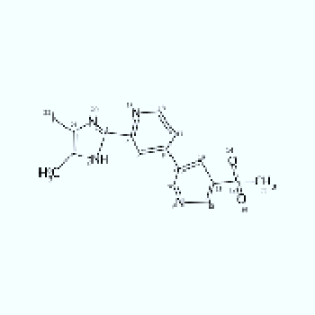 Cc1[nH]c(-c2cc(-c3cncc(S(C)(=O)=O)c3)ccn2)nc1I